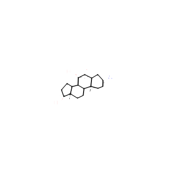 C[C@]12CC[C@@H](N)CC1[C@@H](O)[C@H](O)C1C2CC[C@@]2(C)C1CC[C@@H]2O